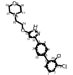 Clc1cccc(-c2ccc(-c3cc(OCCN4CCOCC4)[nH]n3)cc2)c1Cl